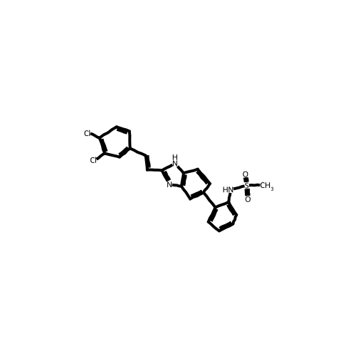 CS(=O)(=O)Nc1ccccc1-c1ccc2[nH]c(C=Cc3ccc(Cl)c(Cl)c3)nc2c1